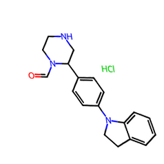 Cl.O=CN1CCNCC1c1ccc(N2CCc3ccccc32)cc1